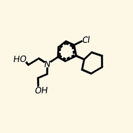 OCCN(CCO)c1ccc(Cl)c(C2CCCCC2)c1